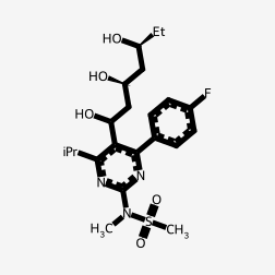 CC[C@H](O)C[C@H](O)CC(O)c1c(-c2ccc(F)cc2)nc(N(C)S(C)(=O)=O)nc1C(C)C